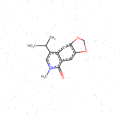 CC(C(=O)O)c1cn(C)c(=O)c2cc3c(cc12)OCO3